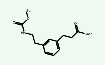 COC(=O)CCc1cccc(CCNC(=O)OC(C)(C)C)c1